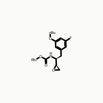 CCCCOc1cc(F)cc(C[C@H](NC(=O)OC(C)(C)C)[C@H]2CO2)c1